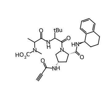 C#CC(=O)N[C@H]1C[C@@H](C(=O)N[C@@H]2CCCc3ccccc32)N(C(=O)C(NC(=O)C(C)N(C)C(=O)O)C(C)(C)C)C1